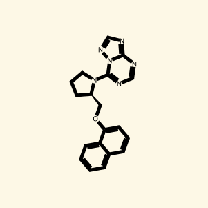 c1ccc2c(OC[C@H]3CCCN3c3ncnc4ncnn34)cccc2c1